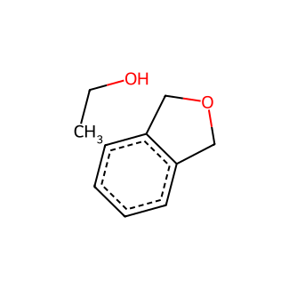 CCO.c1ccc2c(c1)COC2